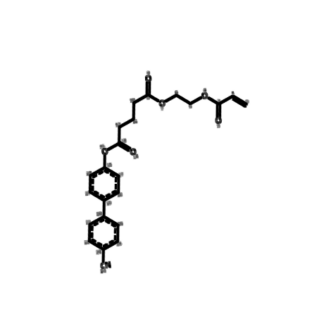 C=CC(=O)OCCOC(=O)CCCC(=O)Oc1ccc(-c2ccc(C#N)cc2)cc1